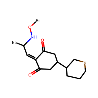 CCONC(C=C1C(=O)CC(C2CCCSC2)CC1=O)CC